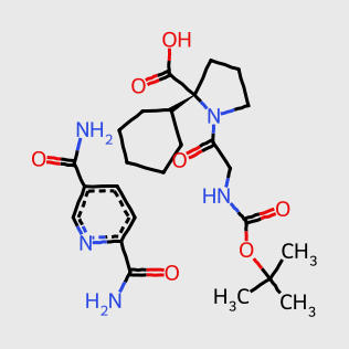 CC(C)(C)OC(=O)NCC(=O)N1CCC[C@]1(C(=O)O)C1CCCCC1.NC(=O)c1ccc(C(N)=O)nc1